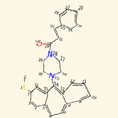 CSC1C=CC2=CC=c3ccccc3=C(N3CCN(C(=O)/C=C/c4ccccc4)CC3)C2=C1